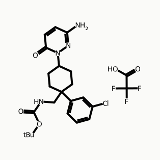 CC(C)(C)OC(=O)NCC1(c2cccc(Cl)c2)CCC(n2nc(N)ccc2=O)CC1.O=C(O)C(F)(F)F